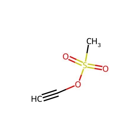 C#COS(C)(=O)=O